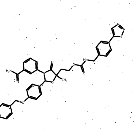 CC1(CCOC(=O)NCc2ccc(-c3cnns3)cc2)SC(c2ccc(OCc3ccccc3)cc2)N(c2cccc(C(N)=O)c2)C1=O